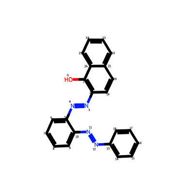 Oc1c(N=Nc2ccccc2N=Nc2ccccc2)ccc2ccccc12